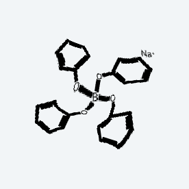 [Na+].c1ccc(O[B-](Oc2ccccc2)(Oc2ccccc2)Oc2ccccc2)cc1